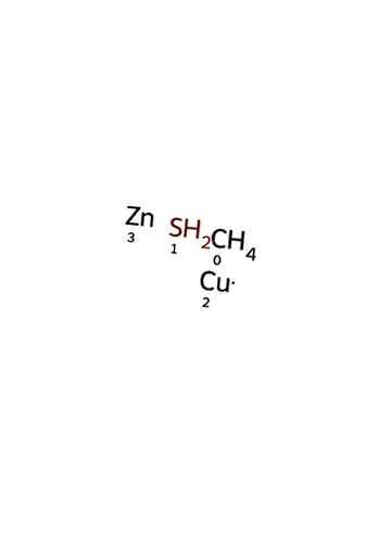 C.S.[Cu].[Zn]